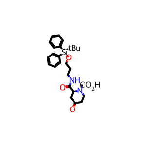 CC(C)(C)[Si](OCCCNC(=O)C1CC(=O)CCN1C(=O)O)(c1ccccc1)c1ccccc1